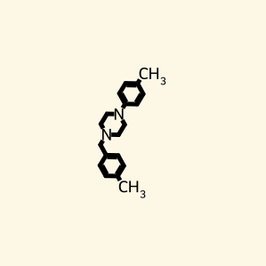 Cc1ccc(CN2CCN(c3ccc(C)cc3)CC2)cc1